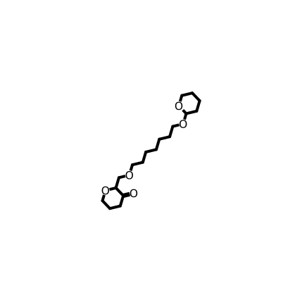 O=C1CCCOC1COCCCCCCCOC1CCCCO1